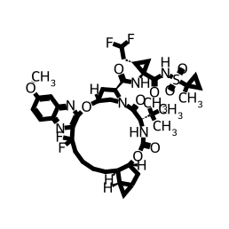 COc1ccc2nc3c(nc2c1)O[C@@H]1C[C@@H](C(=O)N[C@]2(C(=O)NS(=O)(=O)C4(C)CC4)C[C@H]2CC(F)F)N(C1)C(=O)[C@H](C(C)(C)C)NC(=O)O[C@@H]1CC2C[C@@H]2[C@H]1CCCCC3(F)F